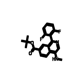 CNc1cnc(-c2c(F)cccc2F)c2cc(C(=O)OC(C)(C)C)ccc12